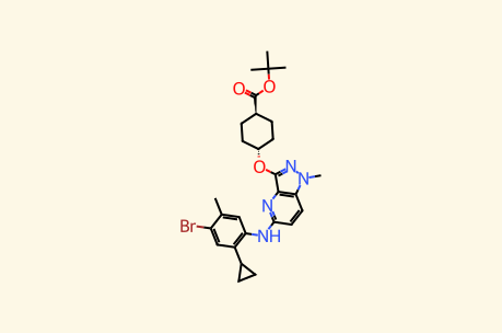 Cc1cc(Nc2ccc3c(n2)c(O[C@H]2CC[C@H](C(=O)OC(C)(C)C)CC2)nn3C)c(C2CC2)cc1Br